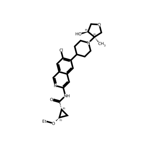 CCO[C@H]1C[C@H]1C(=O)Nc1cc2cc(C3CCN([C@]4(C)COC[C@@H]4O)CC3)c(Cl)cc2cn1